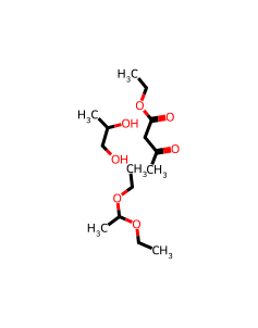 CC(O)CO.CCOC(=O)CC(C)=O.CCOC(C)OCC